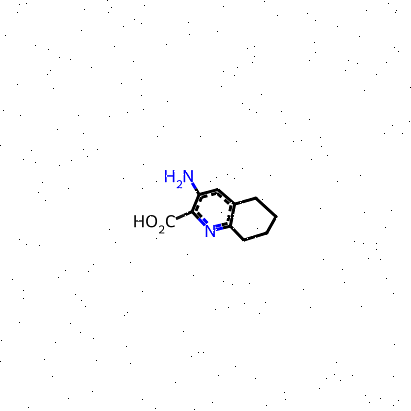 Nc1cc2c(nc1C(=O)O)CCCC2